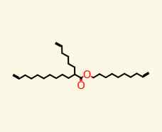 C=CCCCCCCCCOC(=O)C(CCCCC=C)CCCCCCCCC=C